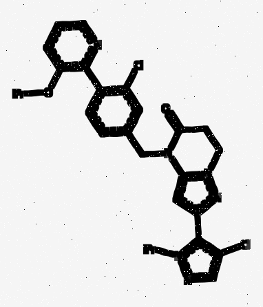 CC(C)Oc1cccnc1-c1ccc(CN2C(=O)CCn3nc(-c4c(Cl)cnn4C(C)C)cc32)cc1Cl